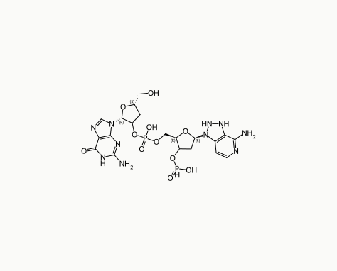 Nc1nc2c(ncn2[C@@H]2O[C@H](CO)CC2OP(=O)(O)OC[C@H]2O[C@@H](N3NNc4c3ccnc4N)CC2O[PH](=O)O)c(=O)[nH]1